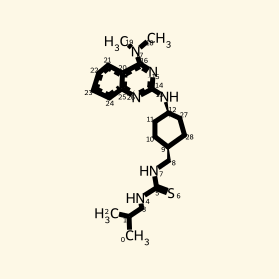 CC(C)CNC(=S)NC[C@H]1CC[C@@H](Nc2nc(N(C)C)c3ccccc3n2)CC1